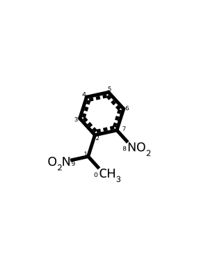 CC(c1ccccc1[N+](=O)[O-])[N+](=O)[O-]